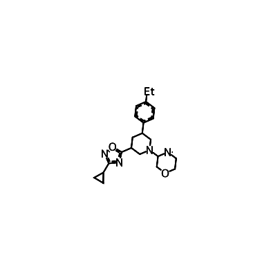 CCc1ccc(C2CC(c3nc(C4CC4)no3)CN(C3COCC[N]3)C2)cc1